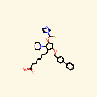 O=C(O)CCC=CCCC1C(OCc2ccc(-c3ccccc3)cc2)CC(OC(=S)n2ccnc2)C1N1CCOCC1